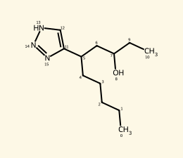 CCCCCC(CC(O)CC)c1c[nH]nn1